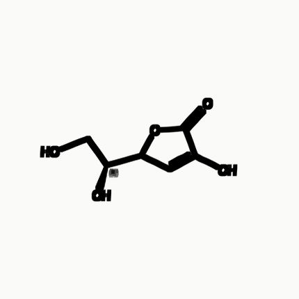 O=C1OC([C@@H](O)CO)C=C1O